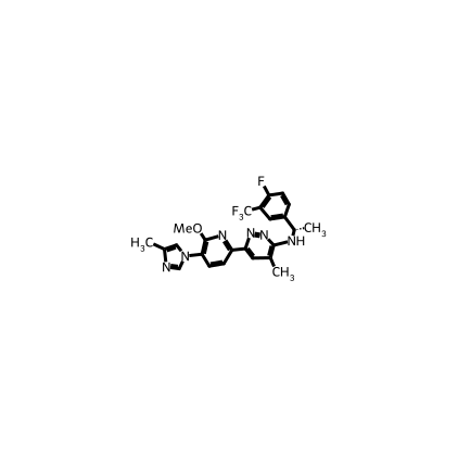 COc1nc(-c2cc(C)c(N[C@@H](C)c3ccc(F)c(C(F)(F)F)c3)nn2)ccc1-n1cnc(C)c1